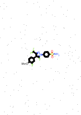 COc1ccc(-c2c(C(F)F)nn(-c3ccc(S(N)(=O)=O)cc3)c2F)cc1F